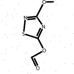 COc1nsc(OC=O)n1